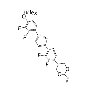 C=CC1OCC(c2ccc(-c3ccc(-c4ccc(OCCCCCC)c(F)c4F)cc3)c(F)c2F)CO1